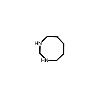 [CH]1CCCNCNC1